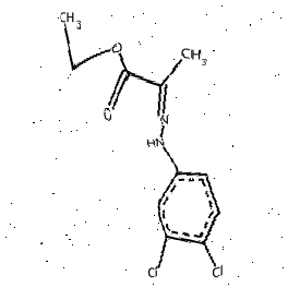 CCOC(=O)/C(C)=N\Nc1ccc(Cl)c(Cl)c1